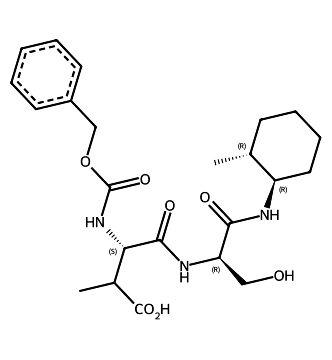 CC(C(=O)O)[C@H](NC(=O)OCc1ccccc1)C(=O)N[C@H](CO)C(=O)N[C@@H]1CCCC[C@H]1C